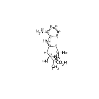 CC1=C[C@@H]2C[C@H](Nc3ccccc3N)C[C@@H]1N2C(=O)O